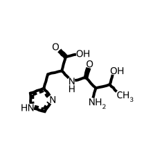 CC(O)C(N)C(=O)NC(Cc1c[nH]cn1)C(=O)O